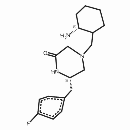 N[C@@H]1CCCCC1CN1CC(=O)N[C@@H](Cc2ccc(F)cc2)C1